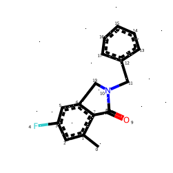 Cc1cc(F)cc2c1C(=O)N(Cc1ccccc1)C2